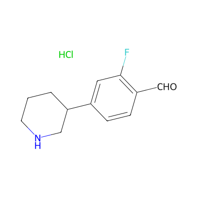 Cl.O=Cc1ccc(C2CCCNC2)cc1F